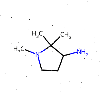 CN1CCC(N)C1(C)C